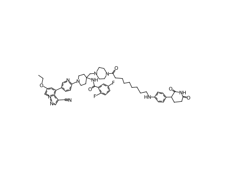 CCOc1cc(-c2ccc(N3CCC(CN4CCN(C(=O)CCCCCCCCNc5ccc(C6CCC(=O)NC6=O)cc5)CC4)(NC(=O)c4cc(F)ccc4F)CC3)nc2)c2c(C#N)cnn2c1